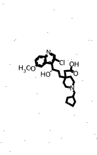 COc1ccc2ncc(Cl)c([C@@H](O)CCC3(CC(=O)O)CCN(CC4CCCC4)CC3)c2c1